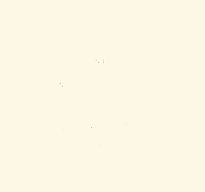 Cc1[nH]c(-c2cccc(-c3ccccc3)c2)cc1C(N)=O